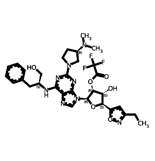 CCc1cc([C@H]2O[C@@H](n3cnc4c(N[C@H](CO)Cc5ccccc5)nc(N5CC[C@@H](N(C)C)C5)nc43)[C@H](OC(=O)C(F)(F)F)[C@@H]2O)on1